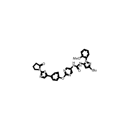 COc1ccccc1-n1nc(C(C)(C)C)cc1NC(=O)Nc1cnc(Oc2ccc(-c3cnc(N4CCCC4=O)s3)cc2)nc1